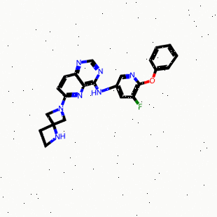 Fc1cc(Nc2ncnc3ccc(N4CC5(CCN5)C4)nc23)cnc1Oc1ccccc1